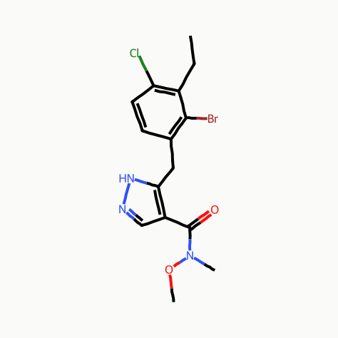 CCc1c(Cl)ccc(Cc2[nH]ncc2C(=O)N(C)OC)c1Br